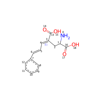 NC(C/C(=C\C=Cc1ccccc1)C(=O)O)C(=O)O